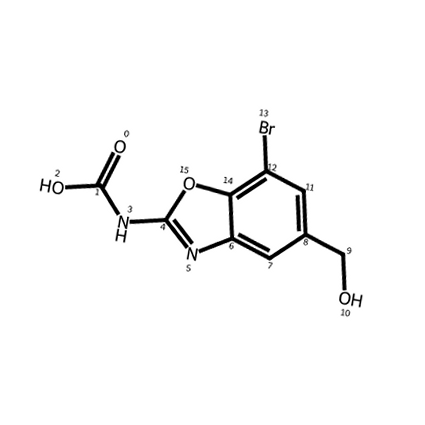 O=C(O)Nc1nc2cc(CO)cc(Br)c2o1